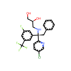 OC[C@@H](O)CN[C@@](Cc1ccccc1)(c1cc(F)cc(C(F)(F)F)c1)c1ccc(Cl)cn1